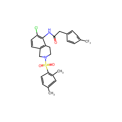 Cc1ccc(S(=O)(=O)N2CCc3c(ccc(Cl)c3NC(=O)Cc3ccc(C(F)(F)F)cc3)C2)c(C)c1